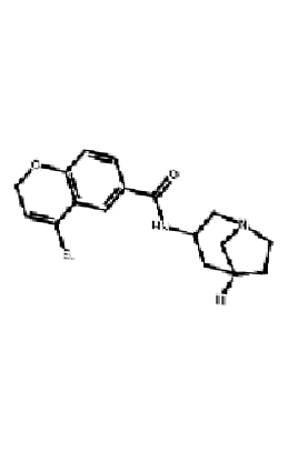 CCC1=CCOc2ccc(C(=O)N[C@@H]3C[C@H]4CCN(C4)C3)cc21